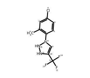 Cc1cc(Cl)ccc1N1C=C(C(F)(F)F)NN1